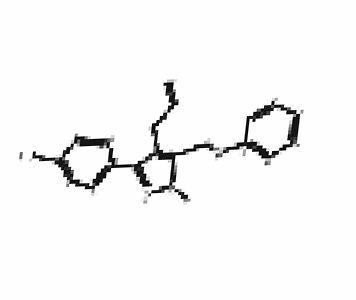 C=CCc1c(-c2ccc(O)cc2)nn(C)c1COc1ccccc1